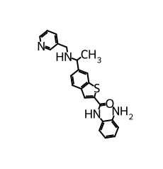 CC(NCc1cccnc1)c1ccc2cc(C(=O)Nc3ccccc3N)sc2c1